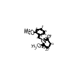 COc1ccccc1CN1C(=O)CCC1C